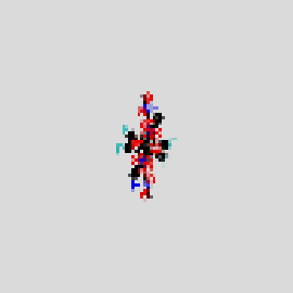 O=C(CCOC(=O)C(Cc1ccccc1)N1C(=O)c2cc(Oc3ccc(F)cc3)c3c4c(Oc5ccc(F)cc5)cc5c6c(cc(Oc7ccc(F)cc7)c(c7c(Oc8ccc(F)cc8)cc(c2c37)C1=O)c64)C(=O)N(C(Cc1ccccc1)C(=O)OCCC(=O)NCC1CO1)C5=O)NCC1CO1